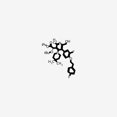 Cc1nc(CO)c(-c2ccc(OCCc3ccc(F)cc3)c(F)c2)c(N2CCC(C)(C)CC2)c1[C@H](OC(C)(C)C)C(=O)OC(C)C